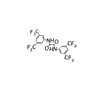 O=C(Nc1cc(C(F)(F)F)cc(C(F)(F)F)c1)C(=O)Nc1cc(C(F)(F)F)cc(C(F)(F)F)c1